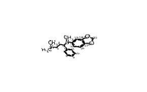 CN(C)CCC(c1ccccc1)N(C)c1ccc2c(c1)OCO2